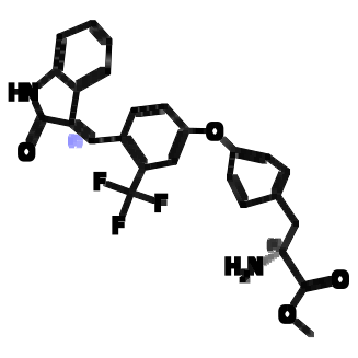 COC(=O)[C@H](N)Cc1ccc(Oc2ccc(/C=C3/C(=O)Nc4ccccc43)c(C(F)(F)F)c2)cc1